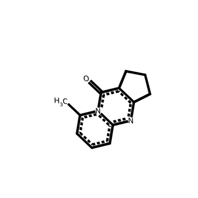 Cc1cccc2nc3c(c(=O)n12)CCC3